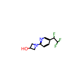 OC1CN(c2ccc(C(F)C(F)F)cn2)C1